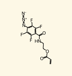 C=CC(=O)OCCNC(=O)c1c(F)c(F)c(N=[N+]=[N-])c(F)c1F